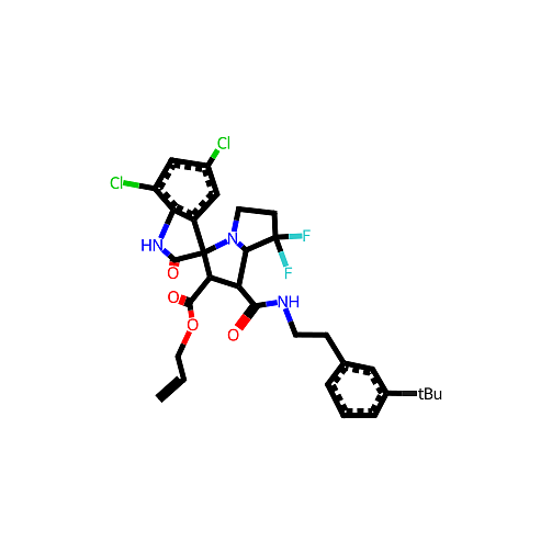 C=CCOC(=O)C1C(C(=O)NCCc2cccc(C(C)(C)C)c2)C2N(CCC2(F)F)C12C(=O)Nc1c(Cl)cc(Cl)cc12